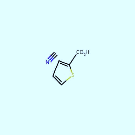 C#N.O=C(O)c1cccs1